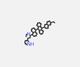 C/C=N\C(CCC1=CC=CNC1)c1cccc2c(-c3c4ccccc4c(-c4ccc5cc(CC)ccc5c4)c4ccccc34)cccc12